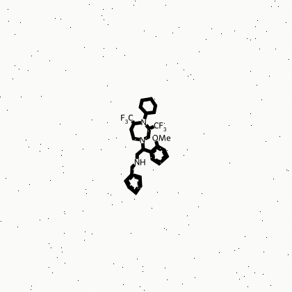 COc1ccccc1C(CNCc1ccccc1)N1CCC(C(F)(F)F)N(C2CCCCC2)C(C(F)(F)F)C1